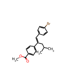 COC(=O)c1ccc(C(=Cc2ccc(Br)cc2)CC(C)C)cc1